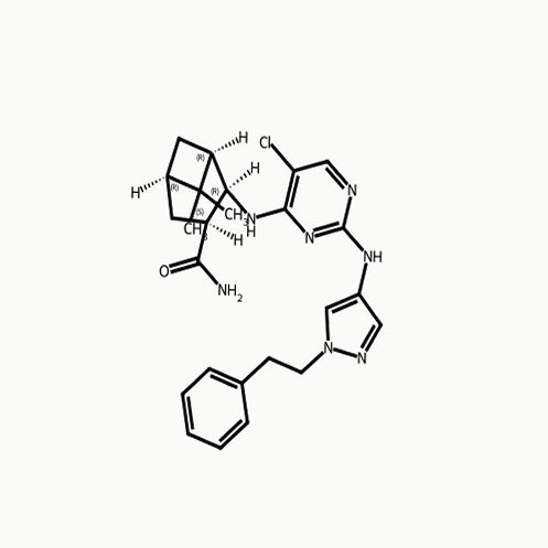 CC1(C)[C@H]2C[C@H](C(N)=O)[C@H](Nc3nc(Nc4cnn(CCc5ccccc5)c4)ncc3Cl)[C@@H]1C2